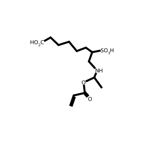 C=CC(=O)OC(C)NCC(CCCCCC(=O)O)S(=O)(=O)O